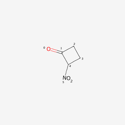 O=C1CCC1[N+](=O)[O-]